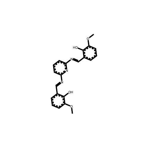 COc1cccc(C=Nc2cccc(N=Cc3cccc(OC)c3O)n2)c1O